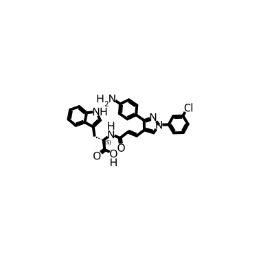 Nc1ccc(-c2nn(-c3cccc(Cl)c3)cc2C=CC(=O)N[C@@H](Cc2c[nH]c3ccccc23)C(=O)O)cc1